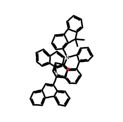 CC1(C)c2ccccc2-c2cccc(N(c3ccc(-c4cc5ccccc5c5ccccc45)cc3)c3ccccc3-c3cccc4oc5c6ccccc6ccc5c34)c21